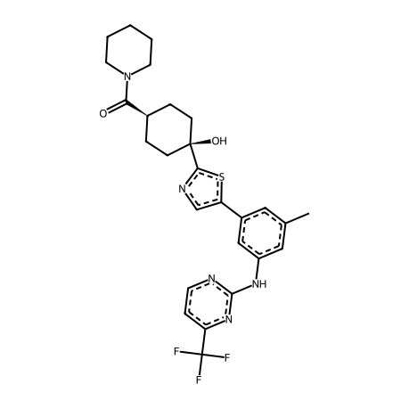 Cc1cc(Nc2nccc(C(F)(F)F)n2)cc(-c2cnc([C@]3(O)CC[C@@H](C(=O)N4CCCCC4)CC3)s2)c1